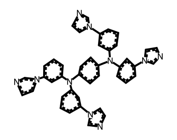 c1cc(N(c2ccc(N(c3cccc(-n4ccnc4)c3)c3cccc(-n4ccnc4)c3)cc2)c2cccc(-n3ccnc3)c2)cc(-n2ccnc2)c1